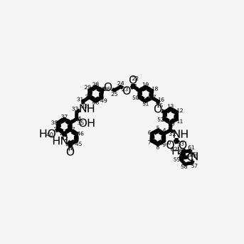 O=C(NC(c1ccccc1)c1cccc(OCc2ccc(C(=O)OCCOc3ccc(CNC[C@H](O)c4ccc(O)c5[nH]c(=O)ccc45)cc3)cc2)c1)O[C@H]1CN2CCC1CC2